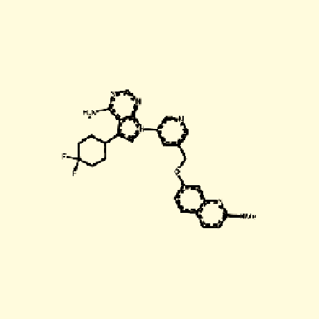 CNc1ccc2ccc(OCc3cncc(-n4cc(C5CCC(F)(F)CC5)c5c(N)ncnc54)c3)cc2n1